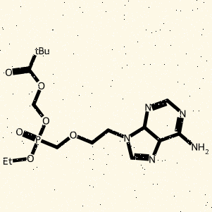 CCOP(=O)(COCCN1C=NC2C(N)=NC=NC21)OCOC(=O)C(C)(C)C